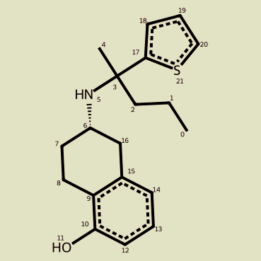 CCCC(C)(N[C@H]1CCc2c(O)cccc2C1)c1cccs1